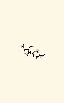 C=C(/C=C\C(F)=C/C)N1C(CC)=C(NC)CN1C